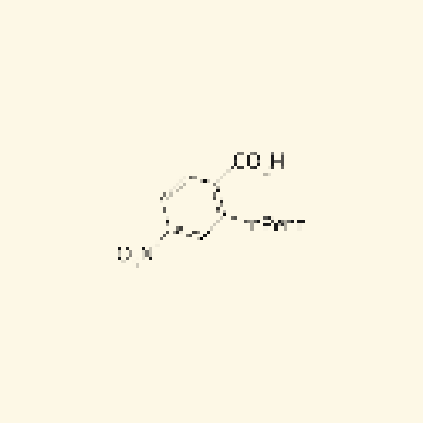 CCCCCc1cc([N+](=O)[O-])ccc1C(=O)O